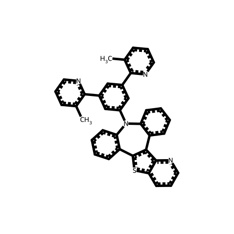 Cc1cccnc1-c1cc(-c2ncccc2C)cc(N2c3ccccc3-c3sc4cccnc4c3-c3ccccc32)c1